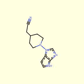 N#CCC1CCN(n2cnc3[nH]ccc32)CC1